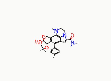 Cc1ccc(-c2c([C@H](OC(C)(C)C)C(=O)O)c(C)c3c4c2cc(C(=O)N(C)C)n4CCN3C)cc1